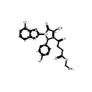 CCOC(=O)CCC(=O)C1=C(O)C(=O)N(c2nc3c(Cl)cccc3s2)C1c1ccc(F)cc1